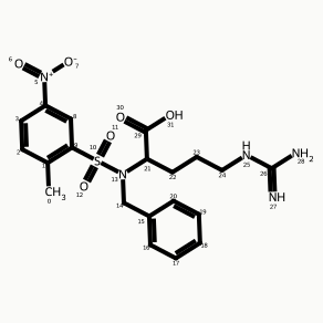 Cc1ccc([N+](=O)[O-])cc1S(=O)(=O)N(Cc1ccccc1)C(CCCNC(=N)N)C(=O)O